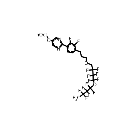 CCCCCCCCOc1cnc(-c2ccc(CCCOCC(F)(F)C(F)(F)C(F)(F)OC(F)(F)C(F)(F)C(F)(F)C(F)(F)F)c(F)c2F)nc1